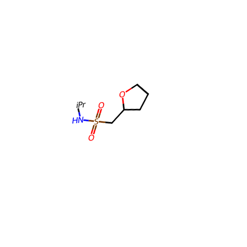 CC(C)NS(=O)(=O)CC1CCCO1